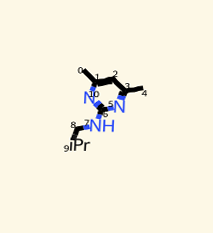 Cc1cc(C)nc(NCC(C)C)n1